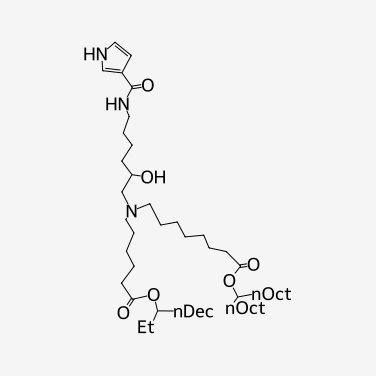 CCCCCCCCCCC(CC)OC(=O)CCCCCN(CCCCCCCC(=O)OC(CCCCCCCC)CCCCCCCC)CC(O)CCCCNC(=O)c1cc[nH]c1